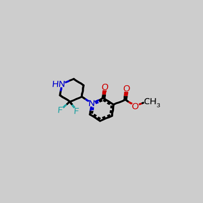 COC(=O)c1cccn(C2CCNCC2(F)F)c1=O